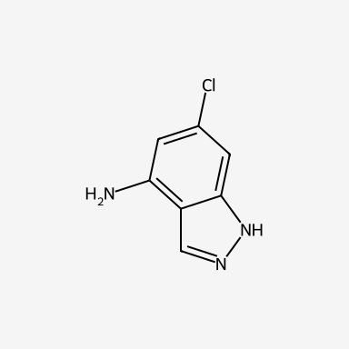 Nc1cc(Cl)cc2[nH]ncc12